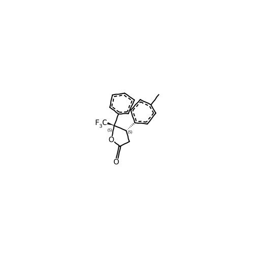 Cc1ccc([C@@H]2CC(=O)O[C@@]2(c2ccccc2)C(F)(F)F)cc1